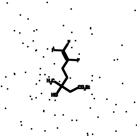 CCOC(=O)CC(C)(O)CCC(F)=C(F)F